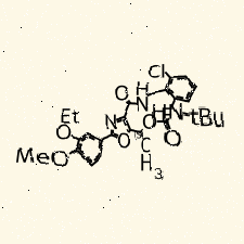 CCOc1cc(-c2nc(C(=O)NCc3c(F)cccc3Cl)c([C@H](C)OC(=O)NC(C)(C)C)o2)ccc1OC